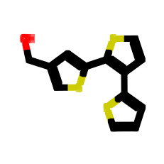 OCc1csc(-c2sccc2-c2cccs2)c1